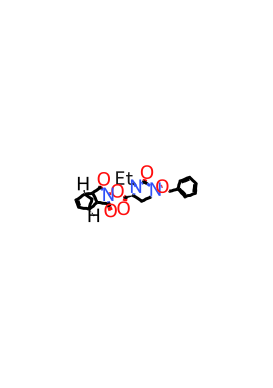 CCN1C(=O)N(OCc2ccccc2)CC[C@H]1C(=O)ON1C(=O)C2C(C1=O)[C@H]1C=C[C@@H]2C1